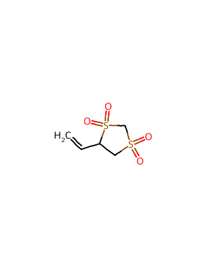 C=CC1CS(=O)(=O)CS1(=O)=O